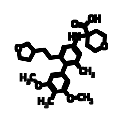 COc1cc(-c2c(C)cc(NC3(C(=O)O)CCOCC3)cc2CCC2CCOC2)cc(OC)c1C